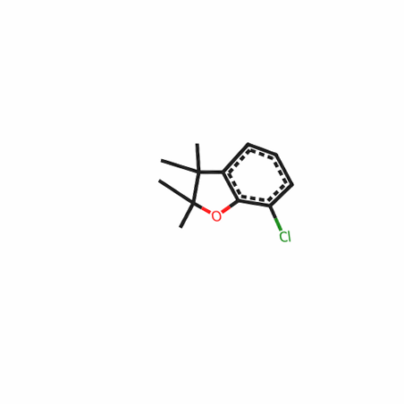 CC1(C)Oc2c(Cl)cccc2C1(C)C